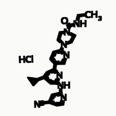 CCNC(=O)N1CCN(c2ccc(-c3cc(C4CC4)cc(Nc4cc(C#N)ccn4)n3)cn2)CC1.Cl